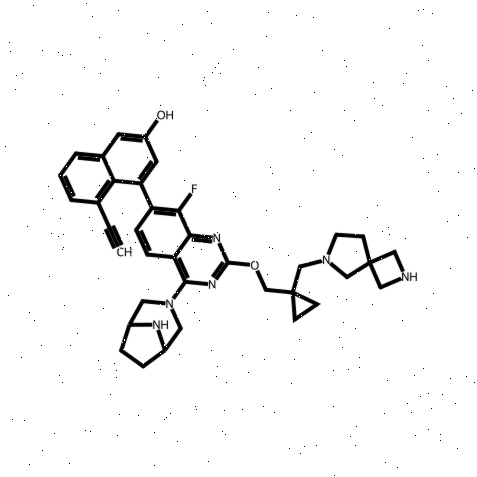 C#Cc1cccc2cc(O)cc(-c3ccc4c(N5CC6CCC(C5)N6)nc(OCC5(CN6CCC7(CNC7)C6)CC5)nc4c3F)c12